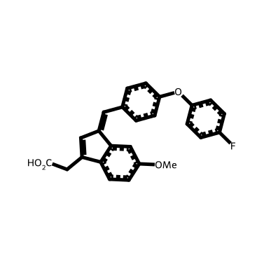 COc1ccc2c(c1)/C(=C\c1ccc(Oc3ccc(F)cc3)cc1)C=C2CC(=O)O